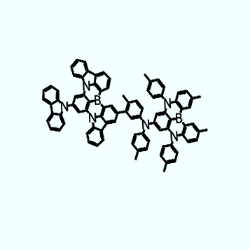 Cc1ccc(N(c2ccc(C)c(-c3cc4c5c(c3)c3ccccc3n5-c3cc(-n5c6ccccc6c6ccccc65)cc5c3B4c3cccc4c6ccccc6n-5c34)c2)c2cc3c4c(c2)N(c2ccc(C)cc2)c2ccc(C)cc2B4c2cc(C)ccc2N3c2ccc(C)cc2)cc1